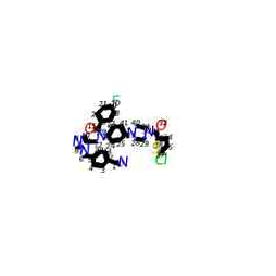 N#Cc1ccc(Cn2cncc2CN(C(=O)c2ccc(F)cc2)c2ccc(N3CCN(C(=O)c4ccc(Cl)s4)CC3)cc2)cc1